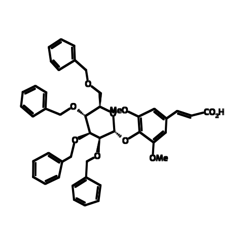 COc1cc(C=CC(=O)O)cc(OC)c1O[C@H]1O[C@H](COCc2ccccc2)[C@@H](OCc2ccccc2)[C@H](OCc2ccccc2)[C@@H]1OCc1ccccc1